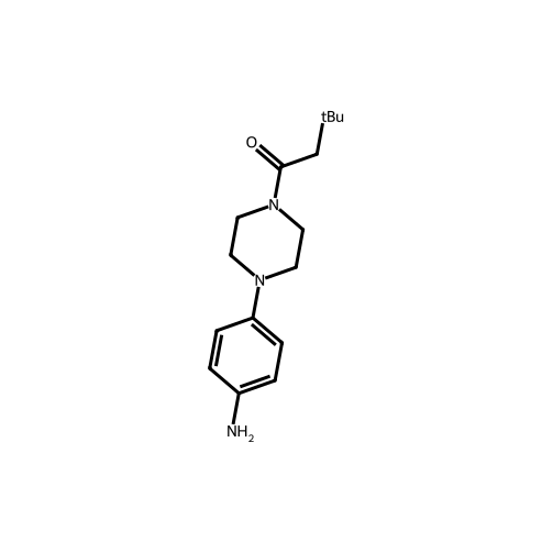 CC(C)(C)CC(=O)N1CCN(c2ccc(N)cc2)CC1